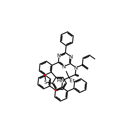 C=C(/C=C\C)N(C(=C)C(C)(CC)Nc1c(-c2ccccc2)cccc1-c1ccccc1)c1nc(-c2ccccc2)nc(-c2cccc3sc4ccccc4c23)n1